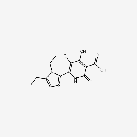 CCc1cnc2n1CCOc1c-2[nH]c(=O)c(C(=O)O)c1O